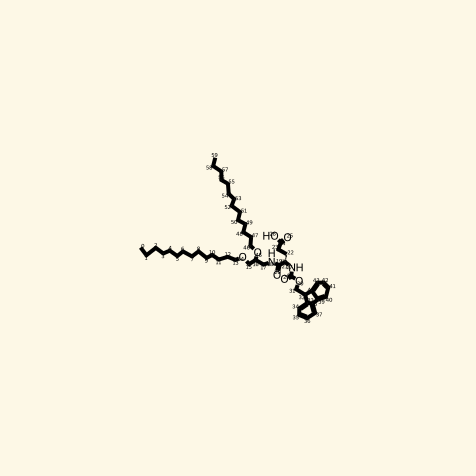 CCCCCCCCCCCCCCOCC(CNC(=O)[C@H](CCC(=O)O)NC(=O)OCC1c2ccccc2-c2ccccc21)OCCCCCCCCCCCCCC